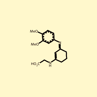 COc1ccc(N=C2C=C(NCC(=O)O)CCC2)cc1OC